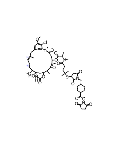 COc1cc2cc(c1Cl)N(C)C(=O)CC(OC(=O)C(C)N(C)C(=O)CCC(C)(C)SC1CC(=O)N(CC3CCC(C(=O)ON4C(=O)CCC4=O)CC3)C1=O)C1(C)OC1C(C)C1CC(O)(NC(=O)O1)C(OC)/C=C/C=C(\C)C2